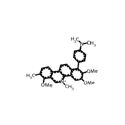 COc1cc2c(ccc3c4ccc(C)c(OC)c4c[n+](C)c23)c(-c2ccc(N(C)C)cc2)c1OC